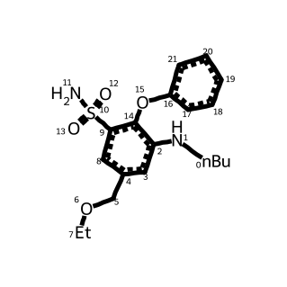 CCCCNc1cc(COCC)cc(S(N)(=O)=O)c1Oc1ccccc1